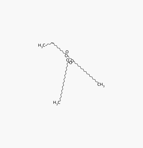 CCCC/C=C\CCCCCCCC(=O)OC[C@@H](COCCCCCCCCCCCCCCCCCC)OC(=O)CCCCCCCCCCCCCCCCCCCCC